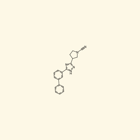 N#CN1CCC(c2n[nH]c(-c3cccc(-c4ccccc4)c3)n2)C1